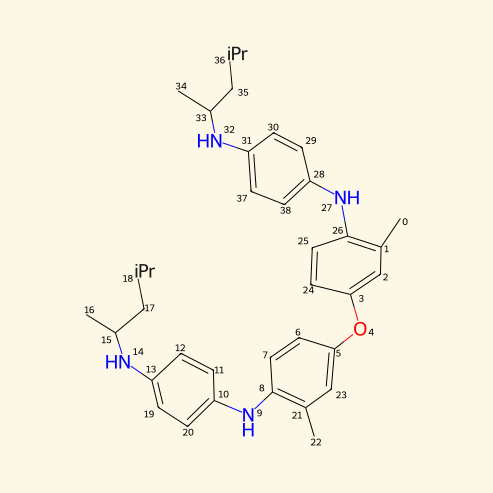 Cc1cc(Oc2ccc(Nc3ccc(NC(C)CC(C)C)cc3)c(C)c2)ccc1Nc1ccc(NC(C)CC(C)C)cc1